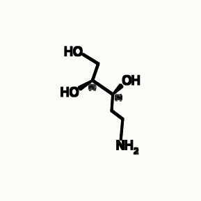 NCC[C@H](O)[C@@H](O)CO